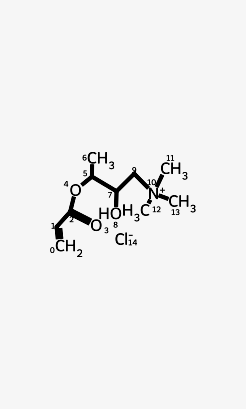 C=CC(=O)OC(C)C(O)C[N+](C)(C)C.[Cl-]